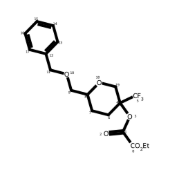 CCOC(=O)C(=O)OC1(C(F)(F)F)CCC(COCc2ccccc2)OC1